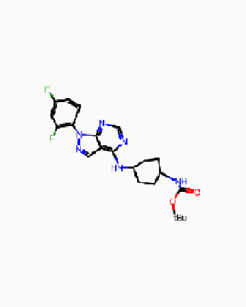 CC(C)(C)OC(=O)NC1CCC(Nc2ncnc3c2cnn3-c2ccc(F)cc2F)CC1